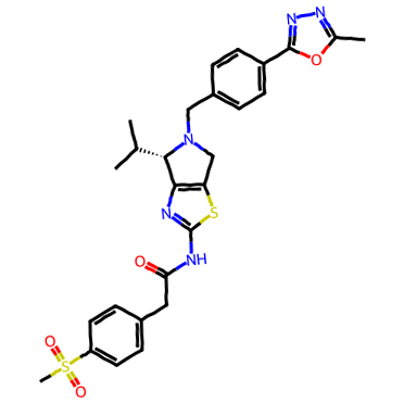 Cc1nnc(-c2ccc(CN3Cc4sc(NC(=O)Cc5ccc(S(C)(=O)=O)cc5)nc4[C@@H]3C(C)C)cc2)o1